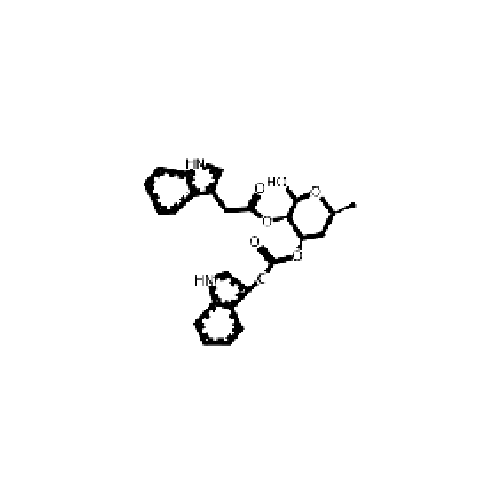 C[C@H]1[CH][C@@H](OC(=O)Cc2c[nH]c3ccccc23)[C@@H](OC(=O)Cc2c[nH]c3ccccc23)C(O)O1